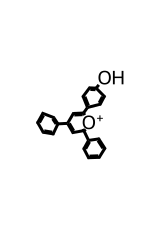 Oc1ccc(-c2cc(-c3ccccc3)cc(-c3ccccc3)[o+]2)cc1